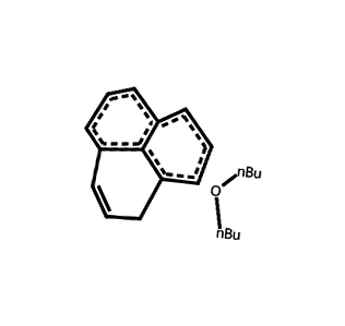 C1=Cc2cccc3cccc(c23)C1.CCCCOCCCC